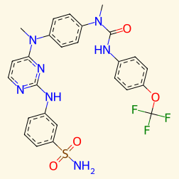 CN(C(=O)Nc1ccc(OC(F)(F)F)cc1)c1ccc(N(C)c2ccnc(Nc3cccc(S(N)(=O)=O)c3)n2)cc1